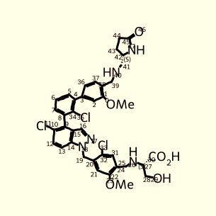 COc1cc(-c2cccc(-c3c(Cl)ccc4c3cnn4Cc3cc(OC)c(CN[C@@H](CO)C(=O)O)cc3Cl)c2Cl)ccc1CNC[C@@H]1CCC(=O)N1